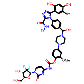 CCNC(=O)c1nnc(-c2cc(C(C)C)c(O)cc2O)n1-c1ccc(C(O)N2CCN(c3ccc(OC(=O)Nc4ccn([C@H]5O[C@@H](CO)[C@H](O)C5(F)F)c(=O)n4)c(OC)c3)CC2)cc1